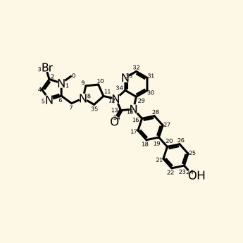 Cn1c(Br)cnc1CN1CCC(n2c(=O)n(-c3ccc(-c4ccc(O)cc4)cc3)c3cccnc32)C1